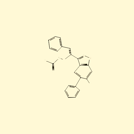 NC(=O)NSC(=Cc1ccccc1)c1n[nH]c2cc(Cl)c(-c3ccccc3)cc12